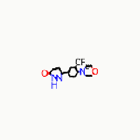 O=c1ccc(-c2ccc(N3CCOCC3)c(C(F)(F)F)c2)n[nH]1